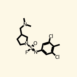 Cc1c(Cl)cc(N=S(=O)(F)N2CCC(CN(C)C)C2)cc1Cl